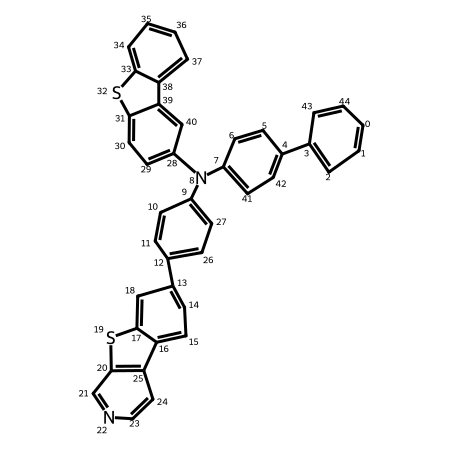 c1ccc(-c2ccc(N(c3ccc(-c4ccc5c(c4)sc4cnccc45)cc3)c3ccc4sc5ccccc5c4c3)cc2)cc1